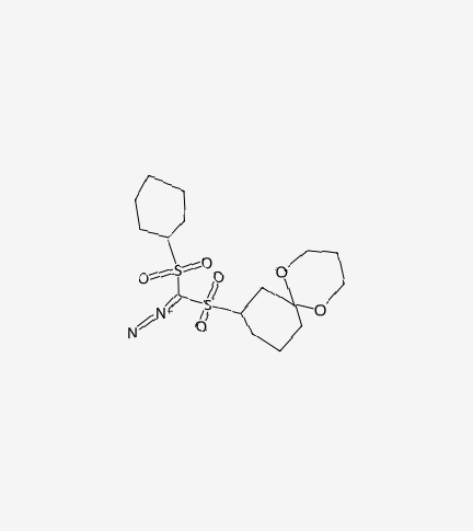 [N-]=[N+]=C(S(=O)(=O)C1CCCCC1)S(=O)(=O)C1CCCC2(C1)OCCCO2